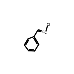 Cl[12CH]=Cc1ccccc1